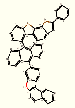 c1ccc(-c2cc3ccc4c(sc5cccc(-c6c7ccccc7c(-c7ccc8c(c7)oc7ccc9ccccc9c78)c7ccccc67)c54)c3s2)cc1